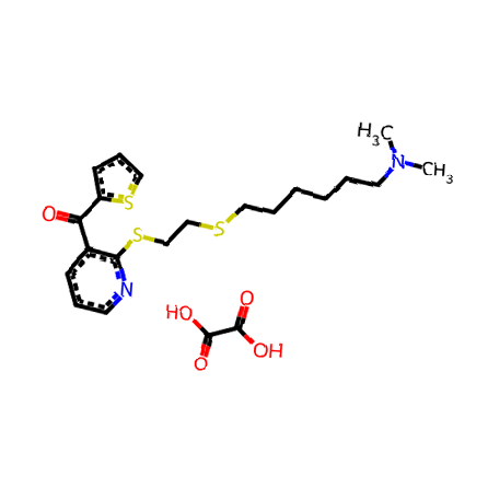 CN(C)CCCCCCSCCSc1ncccc1C(=O)c1cccs1.O=C(O)C(=O)O